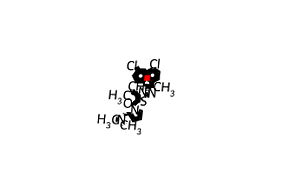 CC(C)C1=C(C(=O)N2CCC[C@H]2CN(C)C)SC2=N[C@@](C)(c3ccc(Cl)cc3)[C@@H](c3ccc(Cl)cc3)N21